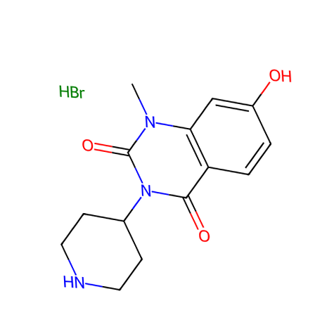 Br.Cn1c(=O)n(C2CCNCC2)c(=O)c2ccc(O)cc21